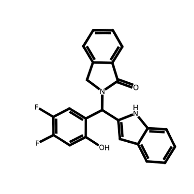 O=C1c2ccccc2CN1C(c1cc2ccccc2[nH]1)c1cc(F)c(F)cc1O